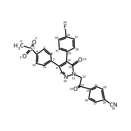 CS(=O)(=O)c1ccc(-c2cnn(CC(=O)c3ccc(C#N)cc3)c(=O)c2-c2ccc(F)cc2)cc1